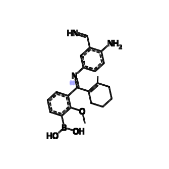 COc1c(B(O)O)cccc1/C(=N/c1ccc(N)c(C=N)c1)C1=C(C)CCCC1